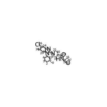 Cc1cccc(-n2c(N3CCC(C(=O)NC4CCOC4)CC3)nc3cc(Cl)c(C)cc32)c1